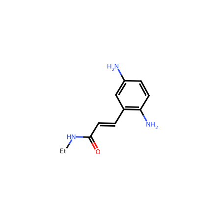 CCNC(=O)/C=C/c1cc(N)ccc1N